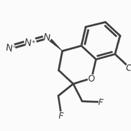 [N-]=[N+]=N[C@@H]1CC(CF)(CF)Oc2c(Cl)cccc21